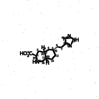 O=C(O)[C@H]1C[C@@H]2C[C@H](CCc3nn[nH]n3)CC[C@@H]2CN1